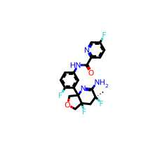 C[C@]1(F)CC2(F)COCC2(c2cc(NC(=O)c3ccc(F)cn3)ccc2F)N=C1N